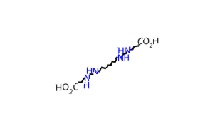 O=C(O)CCCNCCNCCCCCCCCNCCNCCCC(=O)O